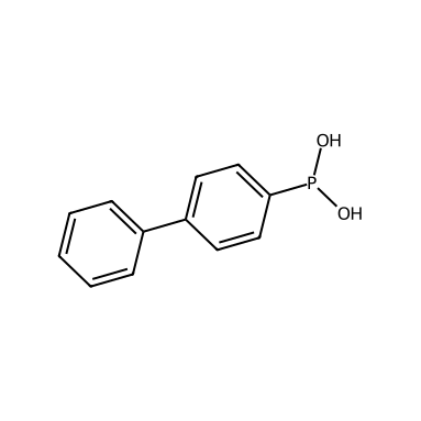 OP(O)c1ccc(-c2ccccc2)cc1